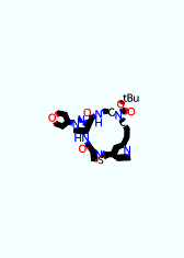 CC(C)(C)OC(=O)N1CCCc2cc(ccn2)-c2nc(cs2)C(=O)Nc2cn(C3CCOCC3)nc2C(=O)NCC1